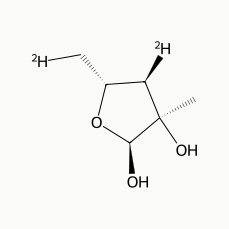 [2H]C[C@H]1O[C@H](O)[C@](C)(O)[C@@H]1[2H]